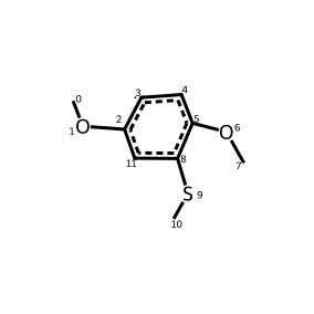 COc1[c]cc(OC)c(SC)c1